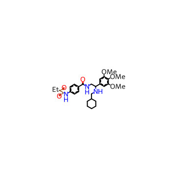 CCS(=O)(=O)Nc1ccc(C(=O)NCC(NCC2CCCCC2)c2cc(OC)c(OC)c(OC)c2)cc1